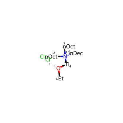 CCCCCCCCCC[N+](CCCCCCCC)(CCCCCCCC)[Ti][O]CC.[Cl-].[Cl-]